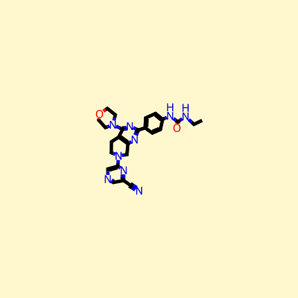 CCNC(=O)Nc1ccc(-c2nc3c(c(N4CCOCC4)n2)CCN(c2cncc(C#N)n2)C3)cc1